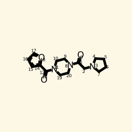 O=C(CN1CCCC1)N1CCN(C(=O)c2ccco2)CC1